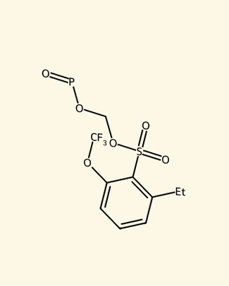 CCc1cccc(OC(F)(F)F)c1S(=O)(=O)OCOP=O